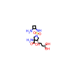 NC1CCC1NS(=O)(=O)N1C[C@H](CCCB(O)O)[C@](N)(C(=O)O)C1